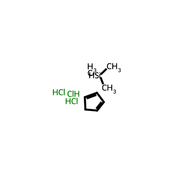 C1=CCC=C1.C[SiH](C)C.Cl.Cl.Cl